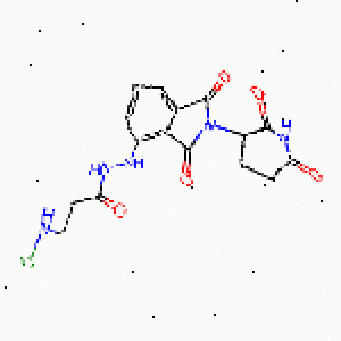 O=C(CCNCl)NNc1cccc2c1C(=O)N(C1CCC(=O)NC1=O)C2=O